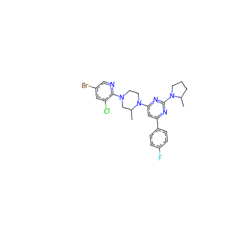 CC1CN(c2ncc(Br)cc2Cl)CCN1c1cc(-c2ccc(F)cc2)nc(N2CCCC2C)n1